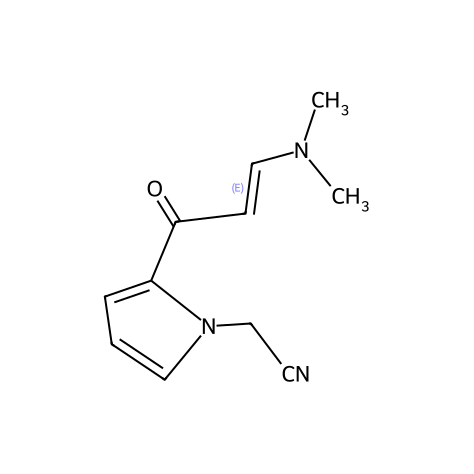 CN(C)/C=C/C(=O)c1cccn1CC#N